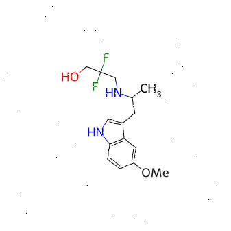 COc1ccc2[nH]cc(CC(C)NCC(F)(F)CO)c2c1